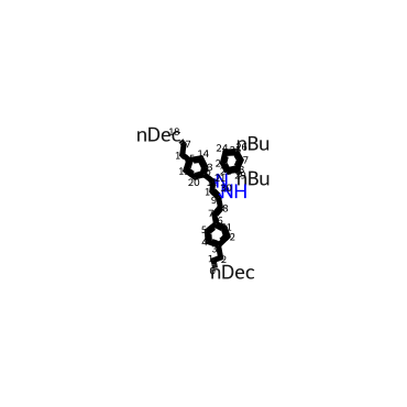 CCCCCCCCCCCCc1ccc(C=CC2=CC(c3ccc(CCCCCCCCCCCC)cc3)N(c3ccc(CCCC)cc3CCCC)N2)cc1